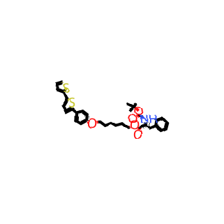 CC(C)(C)OC(=O)N[C@@H](Cc1ccccc1)C(=O)OCCCCCCOc1ccc(-c2ccc(-c3cccs3)s2)cc1